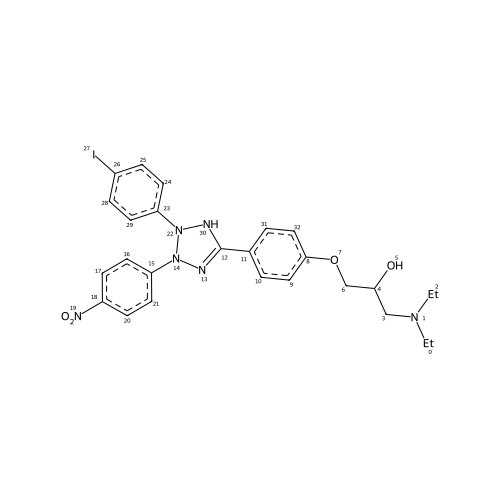 CCN(CC)CC(O)COc1ccc(C2=NN(c3ccc([N+](=O)[O-])cc3)N(c3ccc(I)cc3)N2)cc1